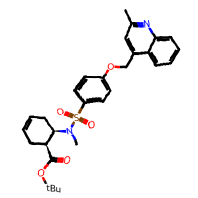 Cc1cc(COc2ccc(S(=O)(=O)N(C)[C@@H]3CC=CC[C@@H]3C(=O)OC(C)(C)C)cc2)c2ccccc2n1